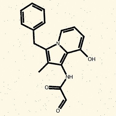 Cc1c(NC(=O)C=O)c2c(O)cccn2c1Cc1ccccc1